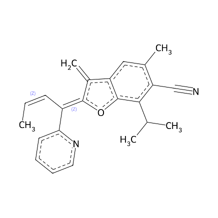 C=c1/c(=C(\C=C/C)c2ccccn2)oc2c(C(C)C)c(C#N)c(C)cc12